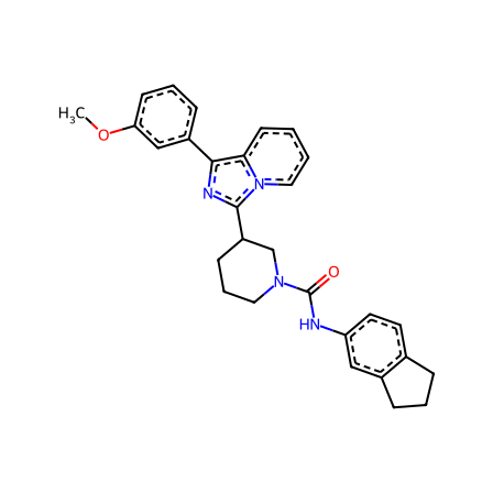 COc1cccc(-c2nc(C3CCCN(C(=O)Nc4ccc5c(c4)CCC5)C3)n3ccccc23)c1